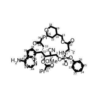 CO[C@](C#N)(COP(=O)(N[C@@H](C)C(=O)OCC1CCOCC1)Oc1ccccc1)[C@@H](OC(=O)C(C)C)[C@@H](CC(=O)C(C)C)c1ccc2c(N)ncnn12